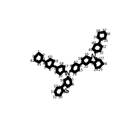 c1ccc(-c2ccc(-c3ccc(N(c4ccc(-c5ccc6c(c5)c5ccccc5n6-c5ccc(-c6ccccc6)cc5)cc4)c4ccc5sc6ccccc6c5c4)cc3)cc2)cc1